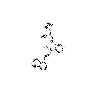 CC(C)(C)NCC(O)COc1ccccc1C(=O)C=Cc1cccc2[nH]ccc12